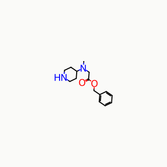 CN(CC(=O)OCc1ccccc1)C1CCNCC1